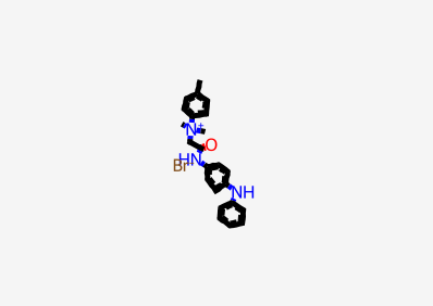 Cc1ccc([N+](C)(C)CC(=O)Nc2ccc(Nc3ccccc3)cc2)cc1.[Br-]